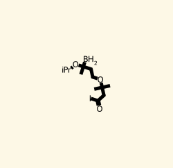 BC(C)(CCOC(C)(C)CC(=O)I)OC(C)C